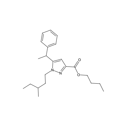 CCCCOC(=O)c1cc(C(C)c2ccccc2)n(CCC(C)CC)n1